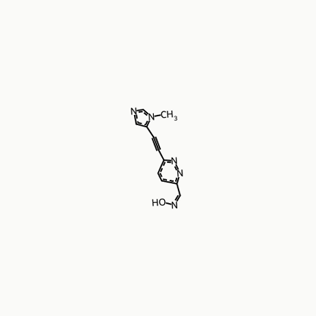 Cn1cncc1C#Cc1ccc(/C=N\O)nn1